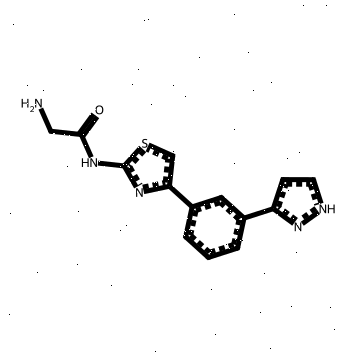 NCC(=O)Nc1nc(-c2cccc(-c3cc[nH]n3)c2)cs1